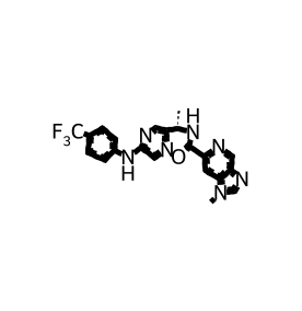 C[C@H](NC(=O)c1cc2c(cn1)ncn2C)c1cnc(Nc2ccc(C(F)(F)F)cc2)cn1